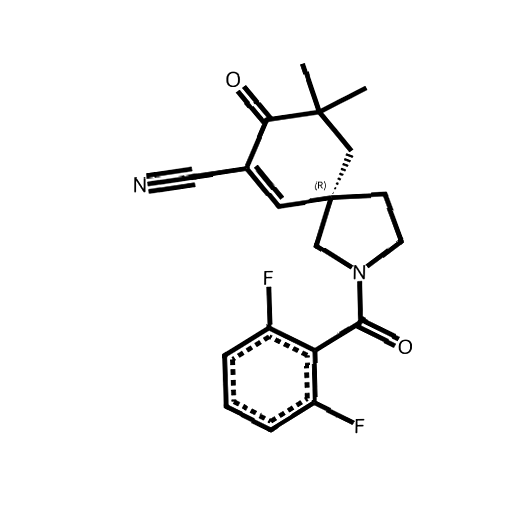 CC1(C)C[C@]2(C=C(C#N)C1=O)CCN(C(=O)c1c(F)cccc1F)C2